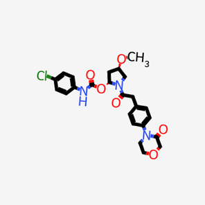 CO[C@@H]1C[C@@H](OC(=O)Nc2ccc(Cl)cc2)N(C(=O)Cc2ccc(N3CCOCC3=O)cc2)C1